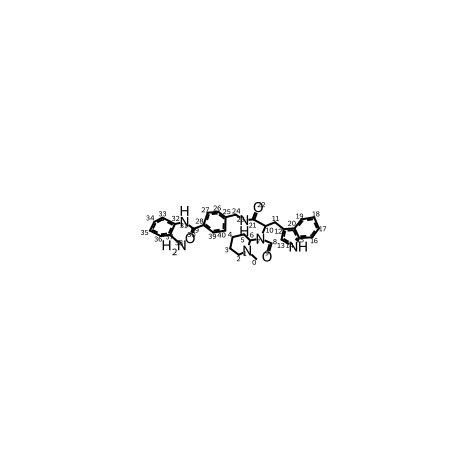 CN1CCCCC1N(C=O)C(Cc1c[nH]c2ccccc12)C(=O)NCc1ccc(C(=O)Nc2ccccc2N)cc1